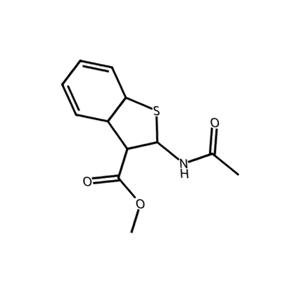 COC(=O)C1C(NC(C)=O)SC2C=CC=CC21